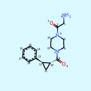 NCC(=O)N1CCN(C(=O)[C@@H]2C[C@H]2c2ccccc2)CC1